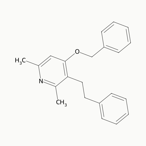 Cc1cc(OCc2ccccc2)c(CCc2ccccc2)c(C)n1